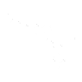 CC(C)(C)OC(=O)N1CCN(c2ccc3c(C(=O)NC[C@H](c4cnc(C(F)(F)F)nc4)N4CCC(F)(F)CC4)cccc3n2)CC1